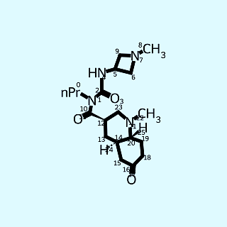 CCCN(C(=O)NC1CN(C)C1)C(=O)[C@@H]1C[C@@H]2CC(=O)CC[C@H]2N(C)C1